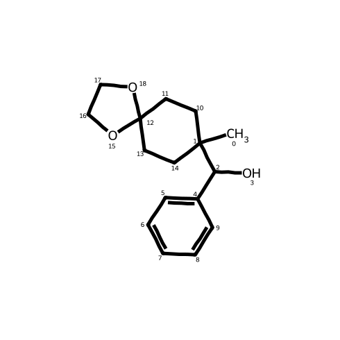 CC1(C(O)c2ccccc2)CCC2(CC1)OCCO2